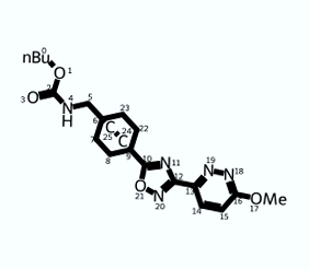 CCCCOC(=O)NCC12CCC(c3nc(-c4ccc(OC)nn4)no3)(CC1)CC2